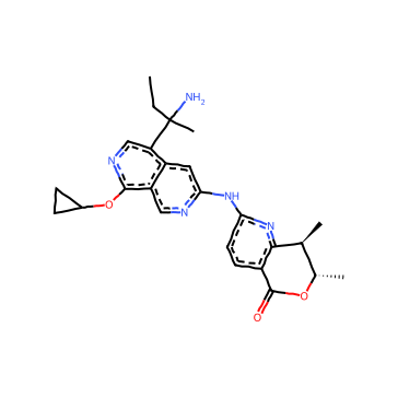 CCC(C)(N)c1cnc(OC2CC2)c2cnc(Nc3ccc4c(n3)[C@@H](C)[C@H](C)OC4=O)cc12